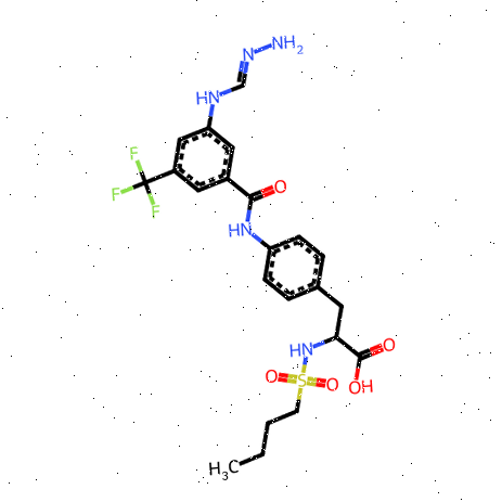 CCCCS(=O)(=O)NC(Cc1ccc(NC(=O)c2cc(NC=NN)cc(C(F)(F)F)c2)cc1)C(=O)O